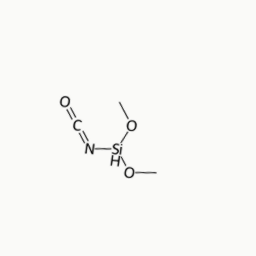 CO[SiH](N=C=O)OC